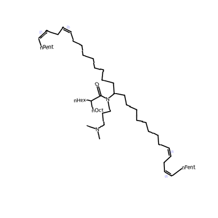 CCCCC/C=C\C/C=C\CCCCCCCCC(CCCCCCCC/C=C\C/C=C\CCCCC)N(CCCN(C)C)C(=O)C(CCCCCC)CCCCCCCC